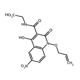 C=CCOn1c(=O)c(C(=O)NCC(=O)O)c(O)c2cc([N+](=O)[O-])ccc21